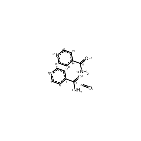 C=O.NC(=O)c1ccncc1.NC(=O)c1ccncc1